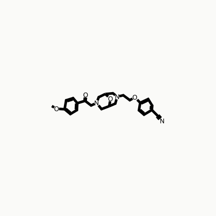 COc1ccc(C(=O)CN2CC3CN(CCOc4ccc(C#N)cc4)CC(C2)O3)cc1